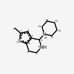 Cc1cc2c(s1)CCNC2N1CCCCC1